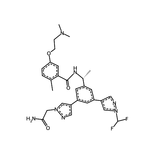 Cc1ccc(OCCN(C)C)cc1C(=O)N[C@H](C)c1cc(-c2cnn(CC(N)=O)c2)cc(-c2cnn(C(F)F)c2)c1